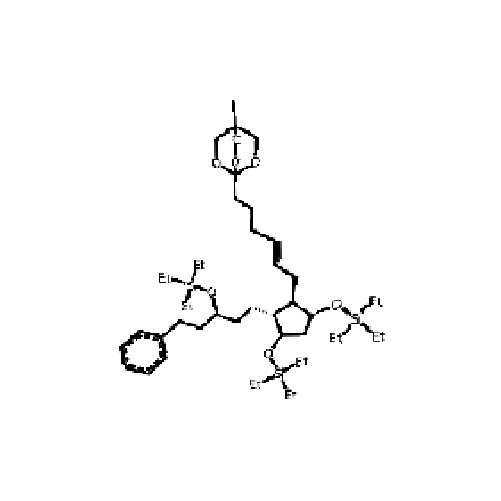 CC[Si](CC)(CC)OC(CCc1ccccc1)CC[C@@H]1[C@@H](CC=CCCCC23OCC(C)(CO2)CO3)[C@@H](O[Si](CC)(CC)CC)C[C@H]1O[Si](CC)(CC)CC